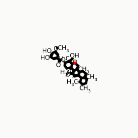 COc1cc(C(=O)O[C@@H]2CC[C@@]3(C)C(CC[C@]4(C)C3C(=O)C=C3C5[C@@H](C)[C@H](C)CC[C@]5(C)CC[C@]34C)[C@@]2(C)C(=O)O)cc(O)c1O